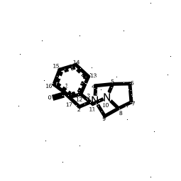 C=CCN1CC2CCC(C1)N2Cc1ccccc1